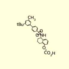 Cc1cc(-c2ccc(S(=O)(=O)NC3CCCc4c(OCC(=O)O)cccc43)cc2)cc(C(C)(C)C)c1